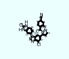 CC(c1ccc(C#N)cc1F)n1nccc1-c1cc(Cl)c2nnn(-c3ccc4[nH]c(=O)[nH]c4c3)c2c1